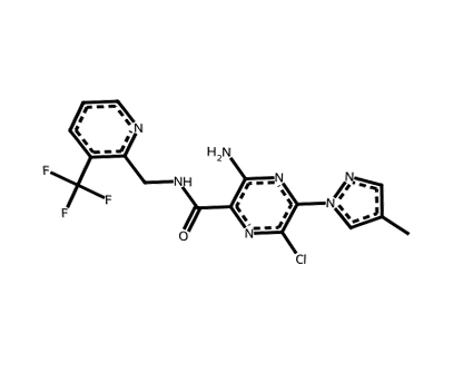 Cc1cnn(-c2nc(N)c(C(=O)NCc3ncccc3C(F)(F)F)nc2Cl)c1